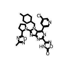 Cc1noc(C2CCCN2c2nc3nc(-c4noc(=O)[nH]4)nc(-c4cncc(Cl)c4)c3n2CC2CCC(C)CC2)n1